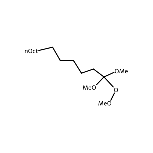 CCCCCCCCCCCCCC(OC)(OC)OOC